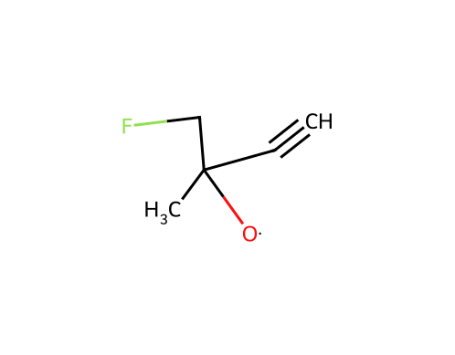 C#CC(C)([O])CF